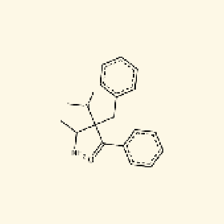 CC(N)C(Cc1ccccc1)(C(=O)c1ccccc1)N(C)C